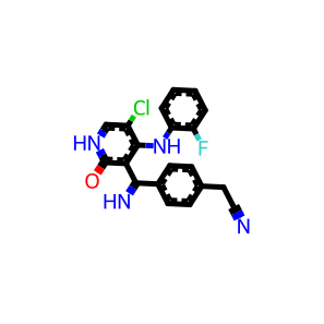 N#CCc1ccc(C(=N)c2c(Nc3ccccc3F)c(Cl)c[nH]c2=O)cc1